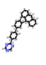 c1ccc2c3c4c(cccc4cc2c1)-c1ccc(-c2ccc(-c4ncncn4)cc2)cc1-3